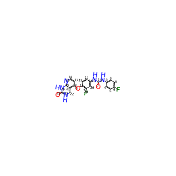 O=C(Nc1ccc(F)cc1)Nc1ccc(Oc2ccnc3c2CNC(=O)N3)c(F)c1